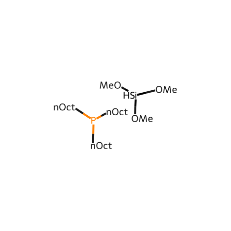 CCCCCCCCP(CCCCCCCC)CCCCCCCC.CO[SiH](OC)OC